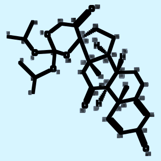 CC(C)OC1(OC(C)C)OCC(=O)[C@]2(CC[C@H]3[C@@H]4CCC5=CC(=O)C=C[C@]5(C)[C@H]4C(=O)C[C@@]32C)O1